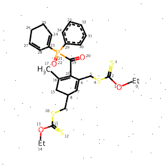 CCOC(=S)SCC1=CC(CSC(=S)OCC)CC(C)=C1C(=O)P(=O)(C1=CCCC=C1)c1ccccc1